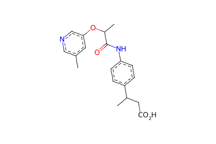 Cc1cncc(OC(C)C(=O)Nc2ccc(C(C)CC(=O)O)cc2)c1